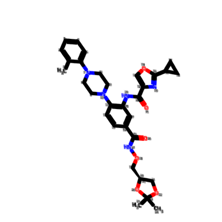 Cc1ccccc1N1CCN(c2ccc(C(=O)NOC[C@H]3COC(C)(C)O3)cc2NC(=O)c2coc(C3CC3)n2)CC1